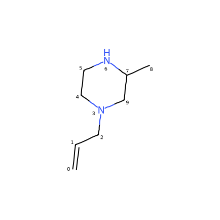 C=CCN1CCNC(C)C1